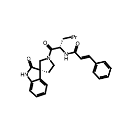 CC(C)C[C@H](NC(=O)/C=C/c1ccccc1)C(=O)N1CC[C@@]2(C1)C(=O)Nc1ccccc12